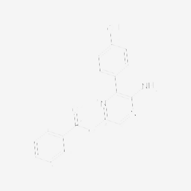 Nc1ncc(OC(=O)c2ccccc2)nc1-c1ccc(O)cc1